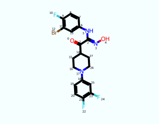 O=C(/C(=N/O)Nc1ccc(F)c(Br)c1)C1CCN(c2ccc(F)c(F)c2)CC1